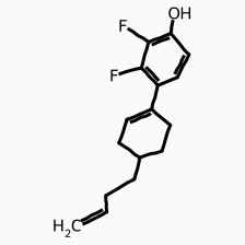 C=CCCC1CC=C(c2ccc(O)c(F)c2F)CC1